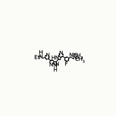 CCNCc1cncc(-c2cnc3[nH]nc(-c4cc5c(-c6cc(F)cc(C(N)CN(C)C)c6)cncc5[nH]4)c3c2)c1